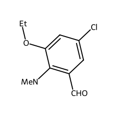 CCOc1cc(Cl)cc(C=O)c1NC